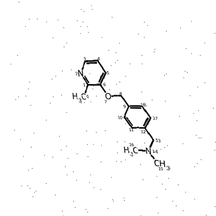 Cc1ncccc1OCc1ccc(CN(C)C)cc1